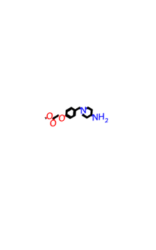 COC(=O)COc1ccc(CN2CCC(N)CC2)cc1